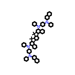 CC1(C)c2cc(N(c3ccccc3)c3ccc(N(c4ccccc4)c4ccc5ccccc5c4)cc3)c3ccccc3c2-c2ccc3c(c21)C(C)(C)c1cc(N(c2ccccc2)c2ccc(N(c4ccccc4)c4ccc5ccccc5c4)cc2)c2ccccc2c1-3